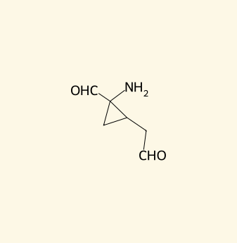 NC1(C=O)CC1CC=O